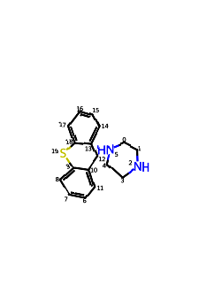 C1CNCCN1.c1ccc2c(c1)Cc1ccccc1S2